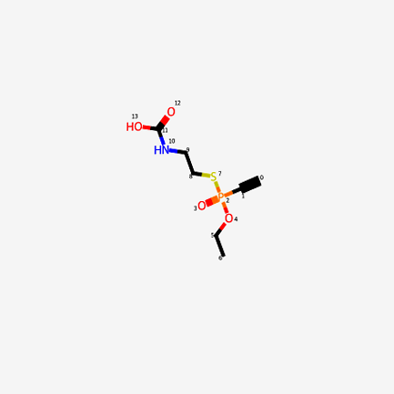 C#CP(=O)(OCC)SCCNC(=O)O